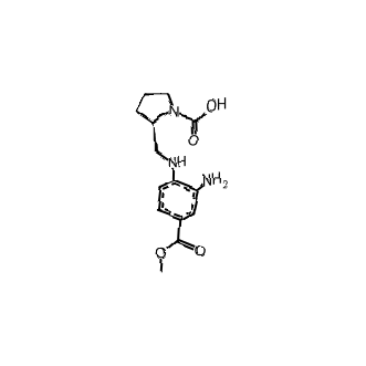 COC(=O)c1ccc(NC[C@H]2CCCN2C(=O)O)c(N)c1